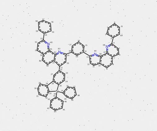 c1ccc(-c2ccc3ccc4ccc(-c5cccc(-c6cc(-c7ccc8c(c7)-c7ccccc7[Si]8(c7ccccc7)c7ccccc7)c7ccc8ccc(-c9ccccc9)nc8c7n6)c5)nc4c3n2)cc1